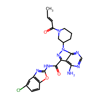 CC=CC(=O)N1CCCC(n2nc(C(=O)Nc3nc4cc(Cl)ccc4o3)c3c(N)ncnc32)C1